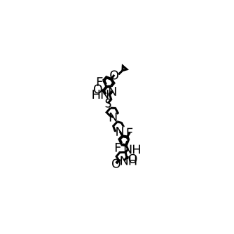 O=C1CCC(Nc2cc(F)c(N3CCC(N4CCC(SCc5nc6cc(OCC7CC7)cc(F)c6c(=O)[nH]5)CC4)CC3)cc2F)C(=O)N1